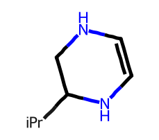 CC(C)C1CNC=CN1